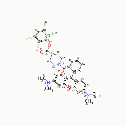 CN(C)c1ccc2c(-c3ccccc3C(=O)N3CCC(C(=O)Oc4c(F)c(F)cc(F)c4F)CC3)c3ccc(=[N+](C)C)cc-3oc2c1